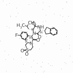 CC(C)C[C@@H]1C(=O)N[C@H](C2Cc3ccccc3C2)C(=O)N1[C@@H](C(=O)N1CCS(=O)(=O)CC1)c1ccc(F)cc1F